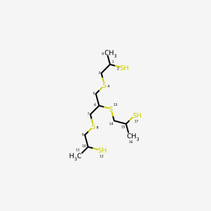 CC(S)CSCC(CSCC(C)S)SCC(C)S